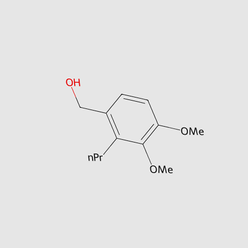 CCCc1c(CO)ccc(OC)c1OC